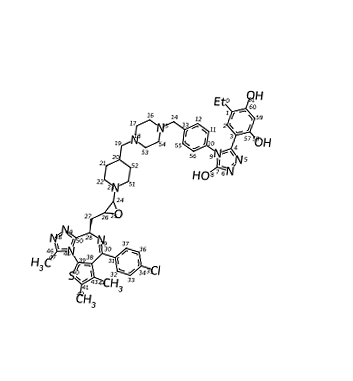 CCc1cc(-c2nnc(O)n2-c2ccc(CN3CCN(CC4CCN(C5OC5C[C@H]5N=C(c6ccc(Cl)cc6)c6c(sc(C)c6C)-n6c(C)nnc65)CC4)CC3)cc2)c(O)cc1O